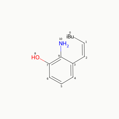 CCC(C)/C=C\c1cccc(O)c1N